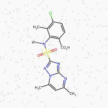 Cc1cc(C)n2nc(S(=O)(=O)N(c3c(C(=O)O)ccc(Cl)c3C)C(C)C)nc2n1